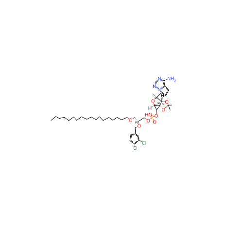 CCCCCCCCCCCCCCCCCCOC[C@H](COP(=O)(O)OC1[C@H]2O[C@@](C)(c3ccc4c(N)ncnn34)[C@@H]3OC(C)(C)O[C@]123)OCc1ccc(Cl)c(Cl)c1